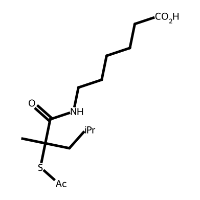 CC(=O)SC(C)(CC(C)C)C(=O)NCCCCCC(=O)O